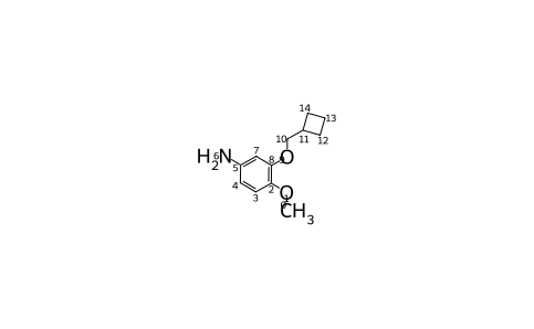 COc1ccc(N)cc1OCC1CCC1